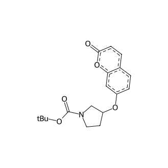 CC(C)(C)OC(=O)N1CCC(Oc2ccc3ccc(=O)oc3c2)C1